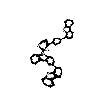 c1ccc2c(c1)sc1c(-c3ccc(-c4ccnc(-n5c6ccccc6c6cc(-c7cccc8c7sc7ccccc78)ccc65)n4)cc3)cccc12